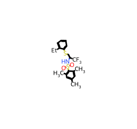 CCc1ccccc1SCC(NS(=O)(=O)c1c(C)cc(C)cc1C)C(F)(F)F